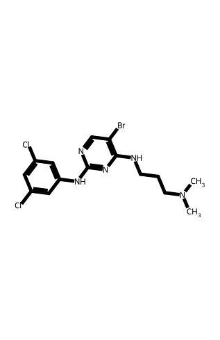 CN(C)CCCNc1nc(Nc2cc(Cl)cc(Cl)c2)ncc1Br